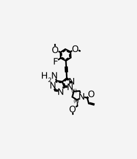 C=CC(=O)N1C[C@@H](n2nc(C#Cc3cc(OC)cc(OC)c3F)c3c(N)ncnc32)C[C@@H]1COC